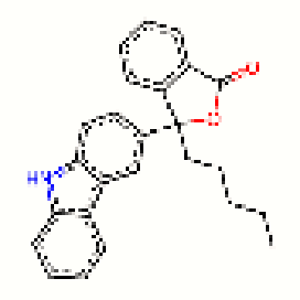 CCCCCC1(c2ccc3[nH]c4ccccc4c3c2)OC(=O)c2ccccc21